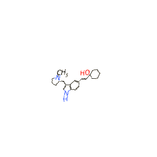 CN1CCC[C@@H]1Cc1c[nH]c2ccc(/C=C/C3(O)CCCCC3)cc12